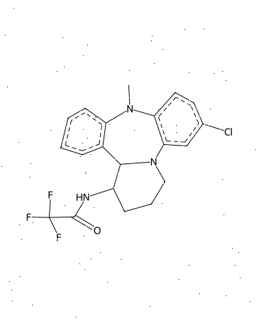 CN1c2ccccc2C2C(NC(=O)C(F)(F)F)CCCN2c2cc(Cl)ccc21